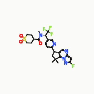 CN(C(=O)C1CCS(=O)(=O)CC1)[C@@H](c1ccc(C2CC(C)(C)c3c2cnc2cc(F)nn32)nc1)C(F)(F)F